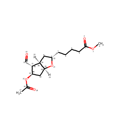 COC(=O)CCCC[C@H]1C[C@@H]2[C@@H](C=O)[C@H](OC(C)=O)C[C@@H]2O1